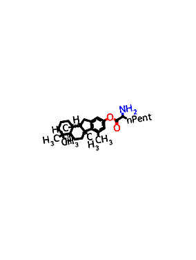 CCCCCC(N)C(=O)Oc1cc(C)c2c(c1)C[C@@H]1[C@@]3(C)CCCC(C)(C)[C@@H]3CC[C@]21C